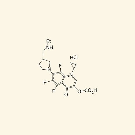 CCNCC1CCN(c2c(F)c(F)c3c(=O)c(OC(=O)O)cn(C4CC4)c3c2F)C1.Cl